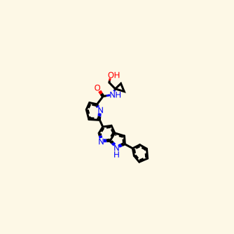 O=C(NC1(CO)CC1)c1cccc(-c2cnc3[nH]c(-c4ccccc4)cc3c2)n1